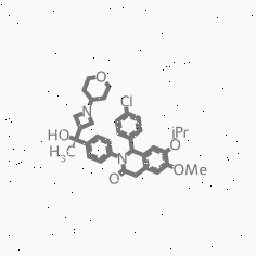 COc1cc2c(cc1OC(C)C)C(c1ccc(Cl)cc1)N(c1ccc([C@@](C)(O)C3CN(C4CCOCC4)C3)cc1)C(=O)C2